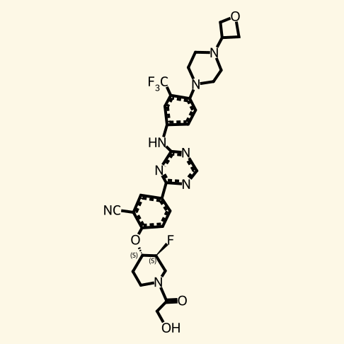 N#Cc1cc(-c2ncnc(Nc3ccc(N4CCN(C5COC5)CC4)c(C(F)(F)F)c3)n2)ccc1O[C@H]1CCN(C(=O)CO)C[C@@H]1F